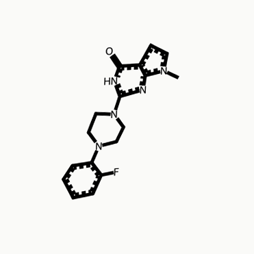 Cn1ccc2c(=O)[nH]c(N3CCN(c4ccccc4F)CC3)nc21